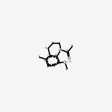 COc1ccc(C)c2c1N(C(C)=O)CCC2